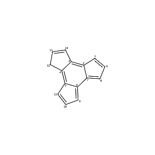 C1=Cc2c3c(c4c(c2=C1)=CC=C4)CC=C3